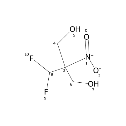 O=[N+]([O-])C(CO)(CO)C(F)F